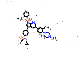 Cc1ccccc1S(=O)(=O)n1cc(-c2ccc(S(C)(=O)=NC3CC3)cc2)c2cc(-c3cc(C)c(N4CCN(C)CC4)c(C)c3)cnc21